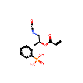 C=CC(=O)OC(C)CN=C=O.O=P(O)(O)c1ccccc1